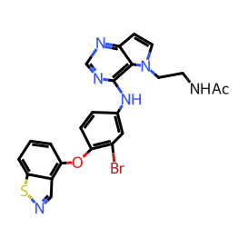 CC(=O)NCCn1ccc2ncnc(Nc3ccc(Oc4cccc5sncc45)c(Br)c3)c21